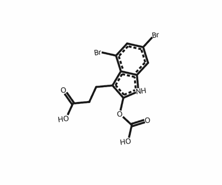 O=C(O)CCc1c(OC(=O)O)[nH]c2cc(Br)cc(Br)c12